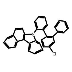 Clc1ccc(-c2ccccc2-n2c3ccccc3c3c4ccccc4ccc32)c(-c2ccccc2)c1